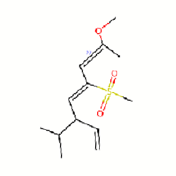 C=CC(C=C(/C=C(\C)OC)S(C)(=O)=O)C(C)C